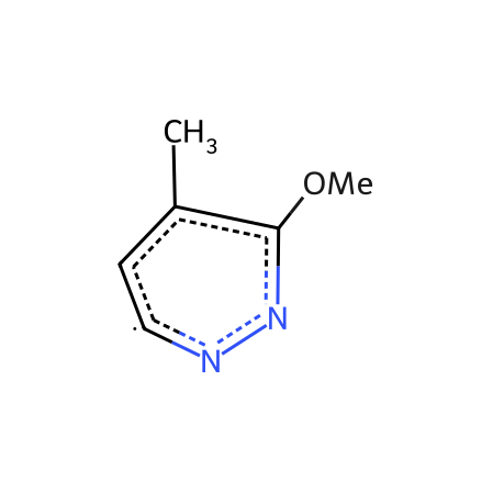 COc1nn[c]cc1C